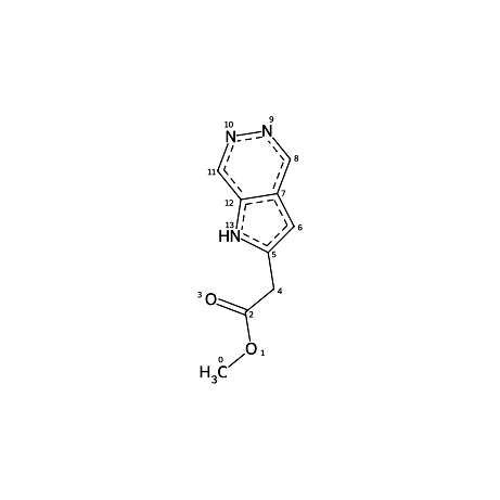 COC(=O)Cc1cc2cnncc2[nH]1